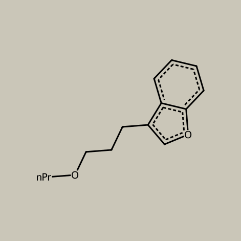 [CH2]CCOCCCc1coc2ccccc12